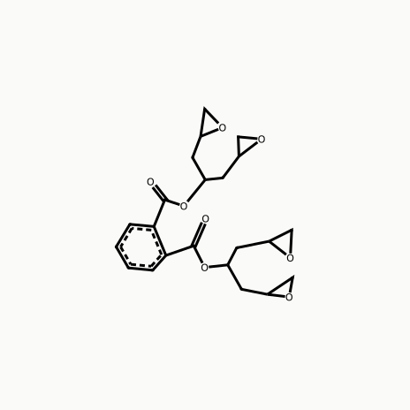 O=C(OC(CC1CO1)CC1CO1)c1ccccc1C(=O)OC(CC1CO1)CC1CO1